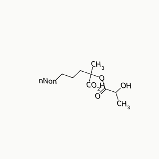 CCCCCCCCCCCCC(C)(OC(=O)C(C)O)C(=O)O